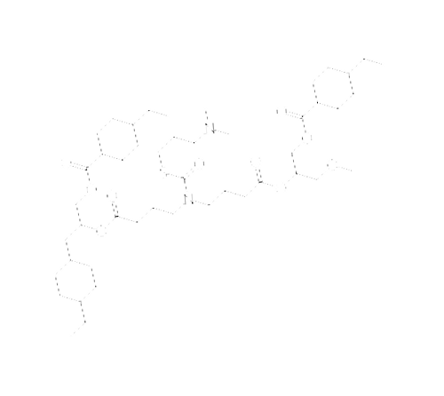 CCC1CCC(CC(COC(=O)C2CCC(CC)CC2)OC(=O)CCCN(CCCC(=O)OC(COC)COC(=O)C2CCC(CC)CC2)C(=O)SCCCN(C)C)CC1